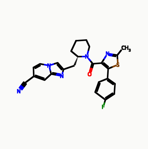 Cc1nc(C(=O)N2CCCC[C@H]2Cc2cn3ccc(C#N)cc3n2)c(-c2ccc(F)cc2)s1